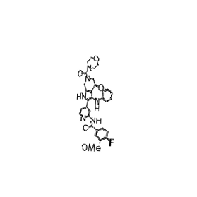 COc1cc(C(=O)Nc2cc(-c3[nH]c4c(c3Nc3ccccc3)C(=O)CN(C(=O)N3CCOCC3)C4)ccn2)ccc1F